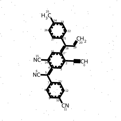 C#Cc1c/c(=C(/C#N)c2ccc(C#N)cc2)c(C#N)c/c1=C(/C=C)c1ccc(C)cc1